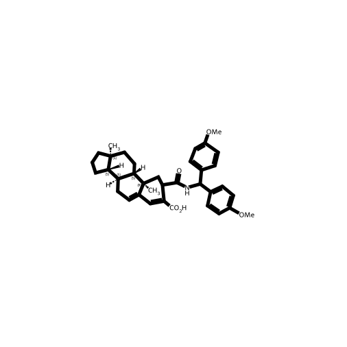 COc1ccc(C(NC(=O)C2C[C@@]3(C)C(=CC[C@H]4[C@@H]5CCC[C@@]5(C)CC[C@@H]43)C=C2C(=O)O)c2ccc(OC)cc2)cc1